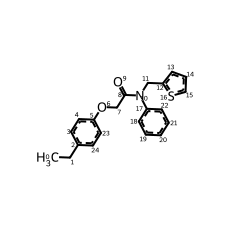 CCc1ccc(OCC(=O)N(Cc2cccs2)c2ccccc2)cc1